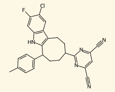 Cc1ccc(C2CCC(c3nc(C#N)cc(C#N)n3)CCc3c2[nH]c2cc(F)c(Cl)cc32)cc1